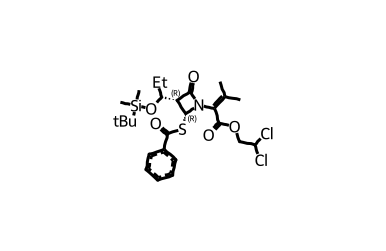 CCC(O[Si](C)(C)C(C)(C)C)[C@@H]1C(=O)N(C(C(=O)OCC(Cl)Cl)=C(C)C)[C@@H]1SC(=O)c1ccccc1